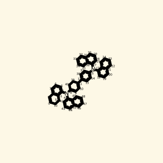 C1=Cc2cccc(N(C3=CC=C(c4ccc(N(c5cccc6ccccc56)c5cccc6ccccc56)cc4)CC3)c3cccc4ccccc34)c2CC1